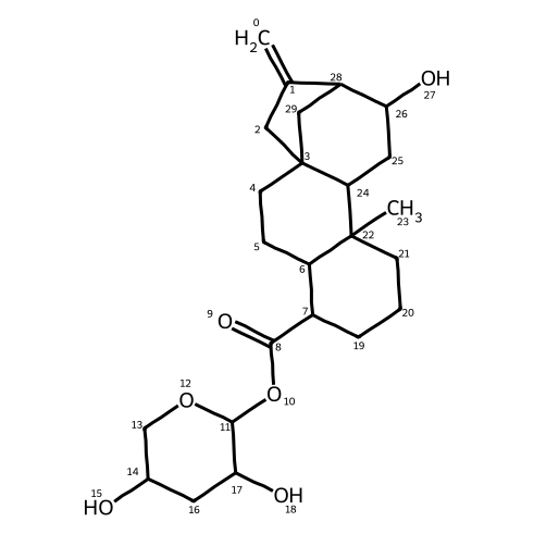 C=C1CC23CCC4C(C(=O)OC5OCC(O)CC5O)CCCC4(C)C2CC(O)C1C3